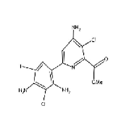 COC(=O)c1nc(-c2cc(F)c(N)c(Cl)c2N)cc(N)c1Cl